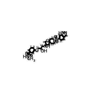 CNS(=O)(=O)c1cccc(OC[C@@H](O)CNC2COC3(CCN(S(=O)(=O)c4ccc5cn[nH]c5c4)CC3)C2)c1